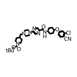 CC(C)(C)OC(=O)N1CCC(CN2CCN(c3cnc(C(=O)N[C@H]4CC[C@H](Oc5ccc(C#N)c(Cl)c5)CC4)cn3)CC2)CC1